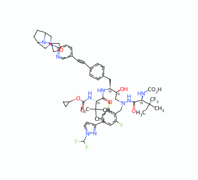 CC(C)([C@H](NC(=O)O)C(=O)NN(Cc1c(F)cc(-c2ccn(C(F)F)n2)cc1F)C[C@H](O)[C@H](Cc1ccc(C#Cc2ccc(N3CC4CCC(C3)N4C3COC3)nc2)cc1)NC(=O)[C@@H](NC(=O)OC1CC1)C(C)(C)C(F)(F)F)C(F)(F)F